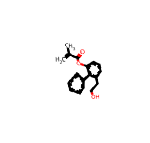 C=C(C)C(=O)Oc1cccc(CCO)c1-c1ccccc1